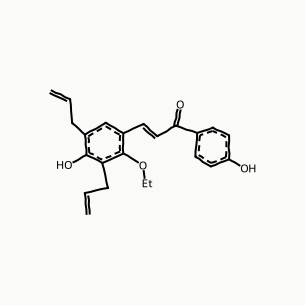 C=CCc1cc(C=CC(=O)c2ccc(O)cc2)c(OCC)c(CC=C)c1O